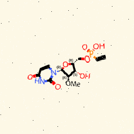 C=CP(=O)(O)OC[C@H]1O[C@@H](n2ccc(=O)[nH]c2=O)[C@H](OC)[C@H]1O